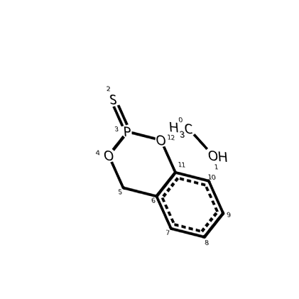 CO.S=[P]1OCc2ccccc2O1